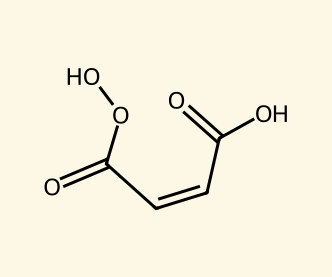 O=C(O)/C=C\C(=O)OO